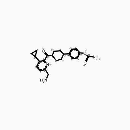 NCc1ccc(C2CC2)c(C(=O)C2CCC(c3ccc(OC(N)=O)cc3)CC2)n1